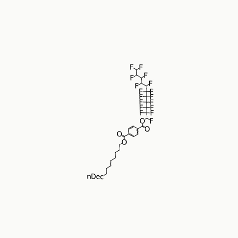 CCCCCCCCCCCCCCCCCCOC(=O)c1ccc(C(=O)OC(F)C(F)(F)C(F)(F)C(F)(F)C(F)(F)C(F)(F)C(F)C(F)C(F)C(F)C(F)F)cc1